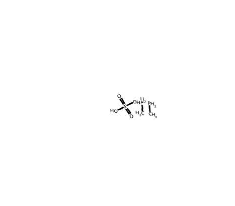 CP.CP.O=S(=O)(O)O